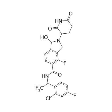 O=C1CCC(N2Cc3c(ccc(C(=O)NC(c4ccc(F)cc4Cl)C(F)(F)F)c3F)C2O)C(=O)N1